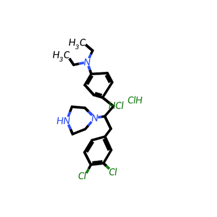 CCN(CC)c1ccc(CC(Cc2ccc(Cl)c(Cl)c2)N2CCNCC2)cc1.Cl.Cl